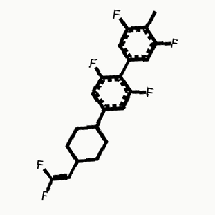 Cc1c(F)cc(-c2c(F)cc(C3CCC(C=C(F)F)CC3)cc2F)cc1F